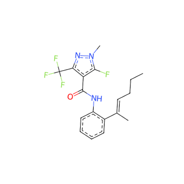 CCCC=C(C)c1ccccc1NC(=O)c1c(C(F)(F)F)nn(C)c1F